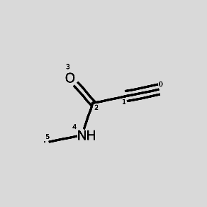 C#CC(=O)N[CH2]